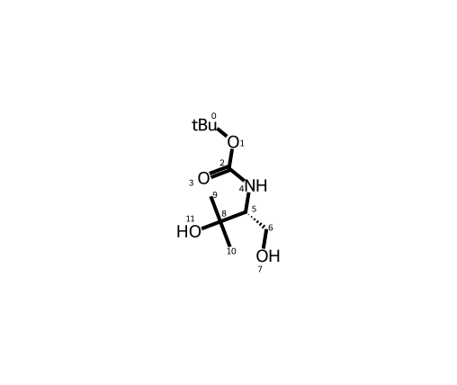 CC(C)(C)OC(=O)N[C@H](CO)C(C)(C)O